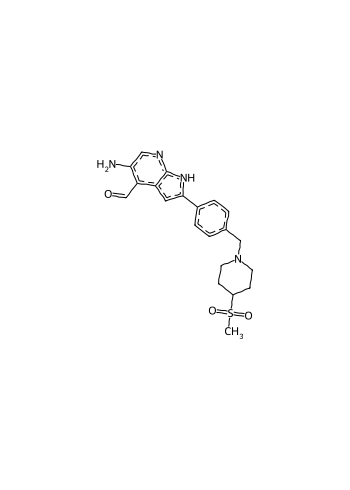 CS(=O)(=O)C1CCN(Cc2ccc(-c3cc4c(C=O)c(N)cnc4[nH]3)cc2)CC1